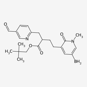 Bc1cc(CCC(Cc2ccc(C=O)cn2)C(=O)OCC(C)(C)C)c(=O)n(C)c1